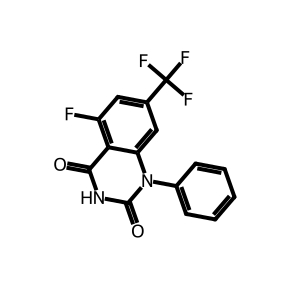 O=c1[nH]c(=O)n(-c2ccccc2)c2cc(C(F)(F)F)cc(F)c12